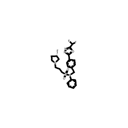 O=S(=O)(CCCN1CC[C@H](F)C1)N(Cc1ccc(-c2nnc(C(F)F)o2)cc1)c1ccccc1